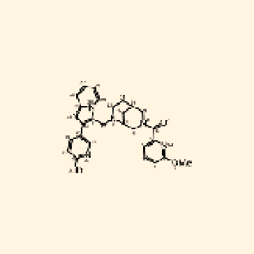 COc1cccc(C(=O)N2CC3CCN(Cc4c(-c5ccc(C(C)C)nc5)nc5ccccn45)C(C3)C2)n1